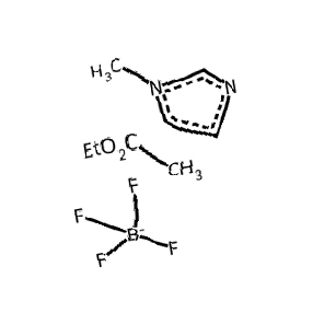 CCOC(C)=O.Cn1ccnc1.F[B-](F)(F)F